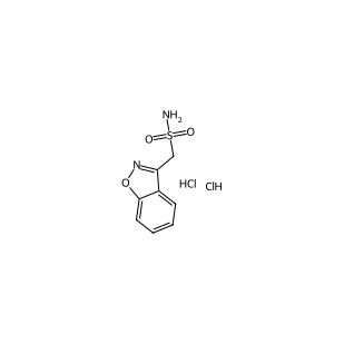 Cl.Cl.NS(=O)(=O)Cc1noc2ccccc12